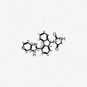 O=C1CNC(=O)N1C1c2ccccc2-c2c(-c3nc4ccncc4[nH]3)cccc21